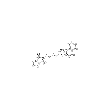 NC(CCCCN1C(=O)C2CCCN2C1=O)Cc1ccc2ccccc2c1